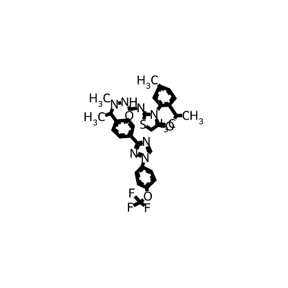 Cc1ccc(C(C)C)c(N2C(=O)CS/C2=N\C(=O)NN(C)C(C)c2ccc(-c3ncn(-c4ccc(OC(F)(F)F)cc4)n3)cc2)c1